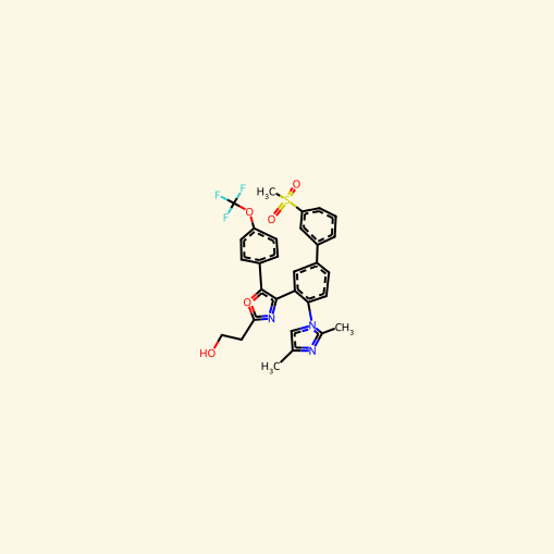 Cc1cn(-c2ccc(-c3cccc(S(C)(=O)=O)c3)cc2-c2nc(CCO)oc2-c2ccc(OC(F)(F)F)cc2)c(C)n1